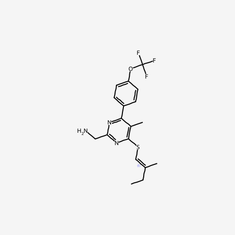 CC/C(C)=C/Sc1nc(CN)nc(-c2ccc(OC(F)(F)F)cc2)c1C